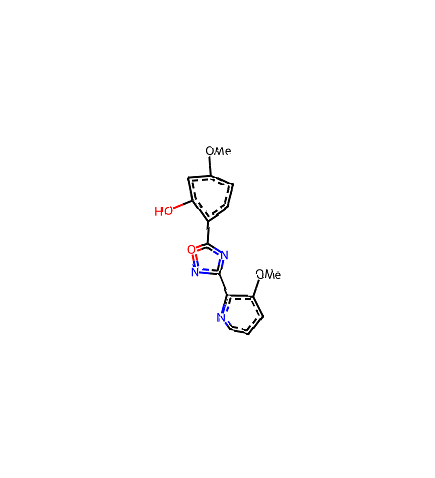 COc1ccc(-c2nc(-c3ncccc3OC)no2)c(O)c1